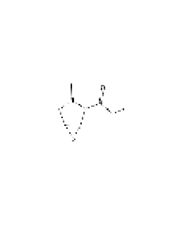 CCC(=O)C1C2SC2CN1C